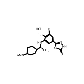 CNC1CCC([C@H](C)Nc2cc(-c3n[nH]c(=O)o3)cc(F)c2C(F)(F)F)CC1.Cl